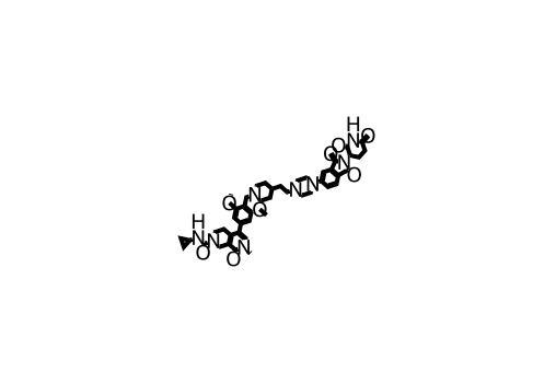 COc1cc(-c2cn(C)c(=O)c3c2CCN(C(=O)NC2CC2)C3)cc(OC)c1CN1CCC(CCN2CCN(c3ccc4c(c3)C(=O)N(C3CCC(=O)NC3=O)C4=O)CC2)CC1